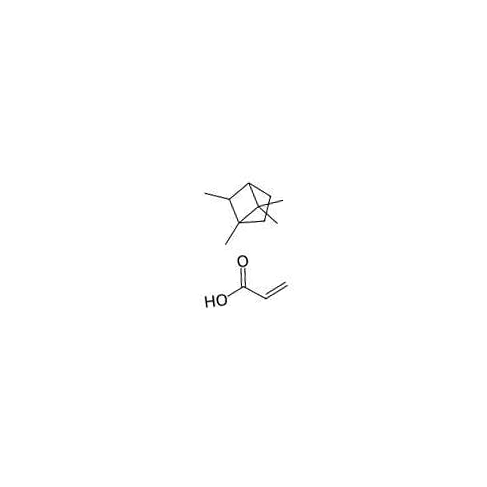 C=CC(=O)O.CC1C2CCC1(C)C2(C)C